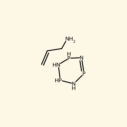 C=CCN.n1p[nH][pH][nH][pH]1